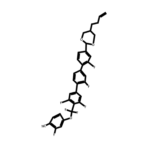 C=CCCC1COC(c2ccc(-c3ccc(-c4cc(F)c(C(F)(F)Oc5ccc(C#N)c(F)c5)c(F)c4)c(F)c3)c(F)c2)OC1